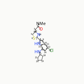 CNC(=O)C[C@@H]1CSC(c2cc3cc(Cl)cc(NC4CCCC4)c3[nH]2)=N1